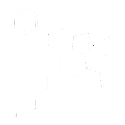 CCCCCCCCCCCCCCCC(OC(=O)c1ccccc1)[C@@H]1COC(C)(C)N1C(=O)OC(C)(C)C